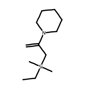 C=C(C[Si](C)(C)CC)N1CCCCC1